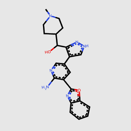 CN1CCC(C(O)c2n[nH]cc2-c2cnc(N)c(-c3nc4ccccc4o3)c2)CC1